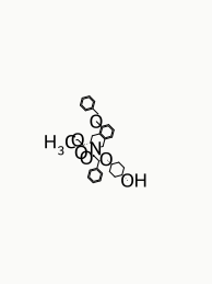 COC(=O)[C@@H]1Cc2c(cccc2OCc2ccccc2)CN1C(=O)C(O[C@H]1CC[C@@H](O)CC1)c1ccccc1